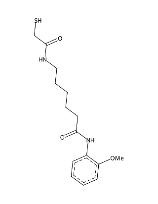 COc1ccccc1NC(=O)CCCCCNC(=O)CS